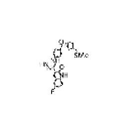 CSCC1CCN(C(=O)c2ccc(N/C=C(\N=N)c3cc4cc(F)ccc4[nH]c3=O)cc2)C1